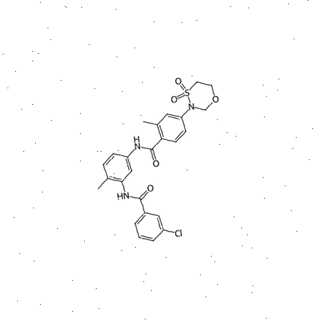 Cc1ccc(NC(=O)c2ccc(N3COCCS3(=O)=O)cc2C)cc1NC(=O)c1cccc(Cl)c1